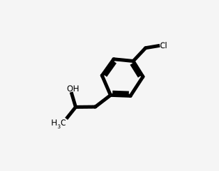 CC(O)Cc1ccc(CCl)cc1